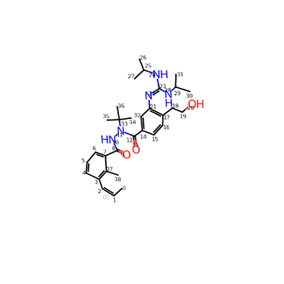 C/C=C\c1cccc(C(=O)NN(C(=O)c2ccc(CCO)c(N=C(NC(C)C)NC(C)C)c2)C(C)(C)C)c1C